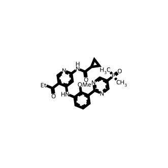 CCC(=O)c1cnc(NC(=O)C2CC2)cc1Nc1cccc(-c2ncc(P(C)(C)=O)cn2)c1OC